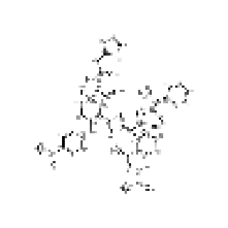 CC(=O)OCC1=C(C(=O)O)N2C(=O)[C@@H](NC(=O)[C@H](N)c3ccccc3)[C@H]2SC1.NC(=O)c1cc[n+](CC2=C(C(=O)[O-])N3C(=O)[C@@H](NC(=O)Cc4cccs4)[C@H]3SC2)cc1